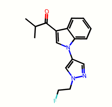 CC(C)C(=O)c1cn(-c2cnn(CCF)c2)c2ccccc12